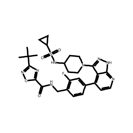 CC(C)(C)c1noc(C(=O)NCc2ccc(-c3ccnc4[nH]nc(N5CCC(NS(=O)(=O)C6CC6)CC5)c34)cc2F)n1